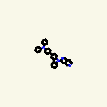 c1ccc(N(c2ccccc2)c2ccc(-c3ccc4c(c3)c3ccccc3n4-c3cc4cnccc4cn3)cc2)cc1